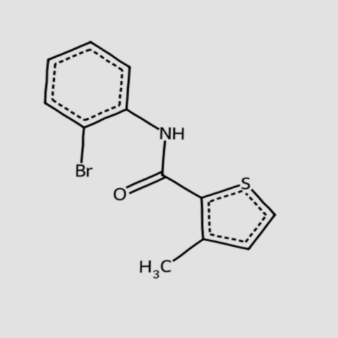 Cc1ccsc1C(=O)Nc1ccccc1Br